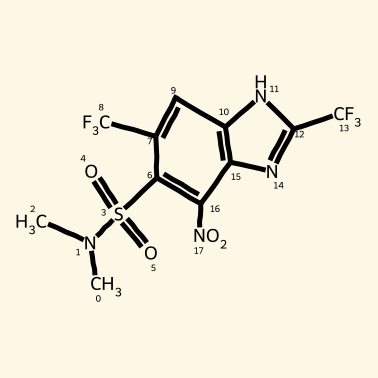 CN(C)S(=O)(=O)c1c(C(F)(F)F)cc2[nH]c(C(F)(F)F)nc2c1[N+](=O)[O-]